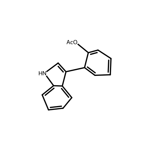 CC(=O)Oc1ccccc1-c1c[nH]c2ccccc12